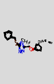 COc1cccc(OCc2nnc(SCc3ccccc3)n2C)c1